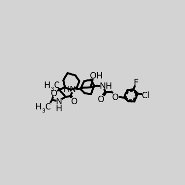 CC1NC(C(=O)NC23CCC(NC(=O)COc4ccc(Cl)c(F)c4)(CC2)C(O)C3)C(C)(C2CCCCCC2)O1